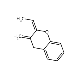 C=C1Cc2ccccc2O/C1=C/C